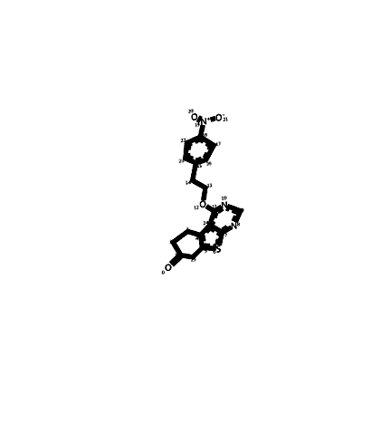 O=C1CCc2c(sc3ncnc(OCCc4ccc([N+](=O)[O-])cc4)c23)C1